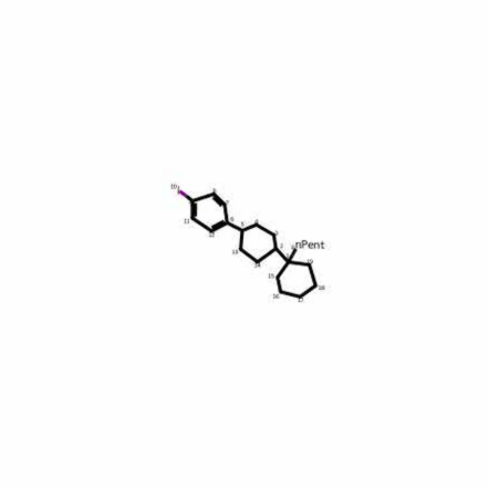 CCCCCC1(C2CCC(c3ccc(I)cc3)CC2)CCCCC1